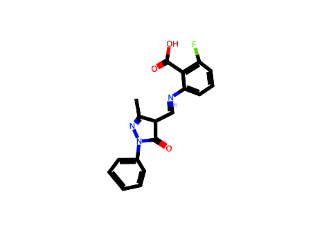 CC1=NN(c2ccccc2)C(=O)C1/C=N/c1cccc(F)c1C(=O)O